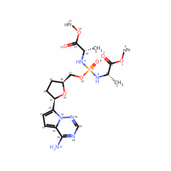 CCCOC(=O)[C@H](C)NP(=O)(N[C@@H](C)C(=O)OCCC)OC[C@@H]1CC[C@H](c2ccc3c(N)ncnn23)O1